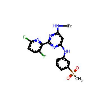 CC(C)Nc1cc(Nc2cccc(S(C)(=O)=O)c2)nc(-c2nc(F)ccc2F)n1